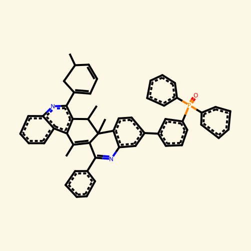 CC1=C2C(c3ccccc3)=Nc3cc(-c4cccc(P(=O)(c5ccccc5)c5ccccc5)c4)ccc3C2(C)C(C)c2c(C3=CC=CC(C)C3)nc3ccccc3c21